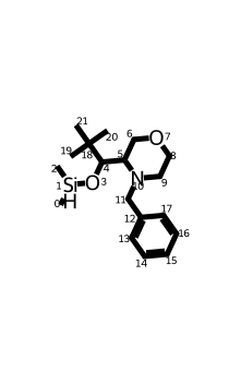 C[SiH](C)OC(C1COCCN1Cc1ccccc1)C(C)(C)C